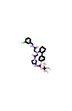 CC(C)(C)OC(=O)NC1CCN(C(=O)CN(CC(=O)NCc2cccc(Cl)c2)c2ccccc2-c2ccccc2)C1